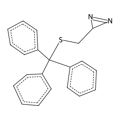 c1ccc(C(SCC2N=N2)(c2ccccc2)c2ccccc2)cc1